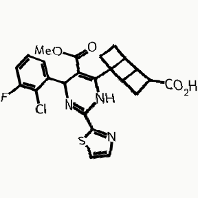 COC(=O)C1=C(C23C4C5C2C2C3C4C52C(=O)O)NC(c2nccs2)=NC1c1cccc(F)c1Cl